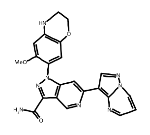 COc1cc2c(cc1-n1nc(C(N)=O)c3cnc(-c4cnn5cccnc45)cc31)OCCN2